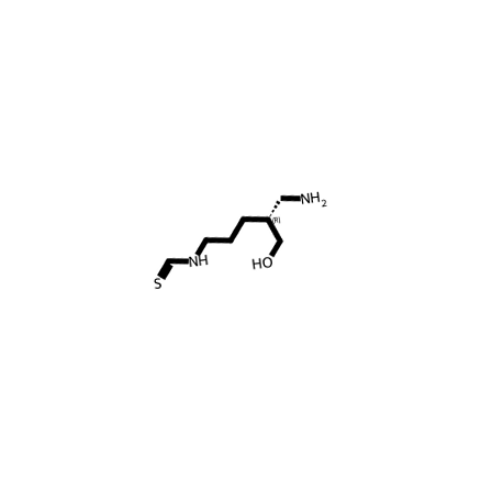 NC[C@H](CO)CCCNC=S